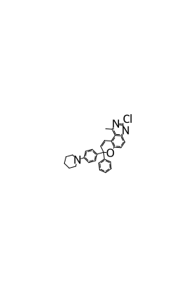 Cc1nc(Cl)nc2ccc3c(c12)C=CC(c1ccccc1)(c1ccc(N2CCCCC2)cc1)O3